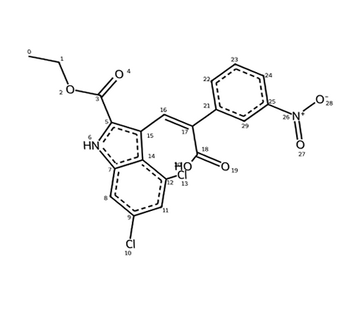 CCOC(=O)c1[nH]c2cc(Cl)cc(Cl)c2c1C=C(C(=O)O)c1cccc([N+](=O)[O-])c1